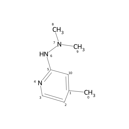 Cc1ccnc(NN(C)C)c1